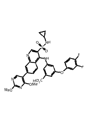 COc1ncc(-c2ccc3c(Nc4cc(Oc5ccc(F)c(F)c5)cc(C(=O)O)c4)c(S(=O)(=O)NC4CC4)cnc3c2)c(OC)n1